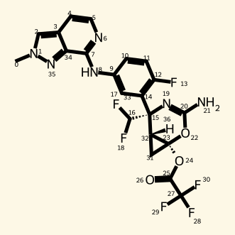 Cn1cc2ccnc(Nc3ccc(F)c([C@@]4(C(F)F)N=C(N)O[C@@]5(OC(=O)C(F)(F)F)C[C@@H]54)c3)c2n1